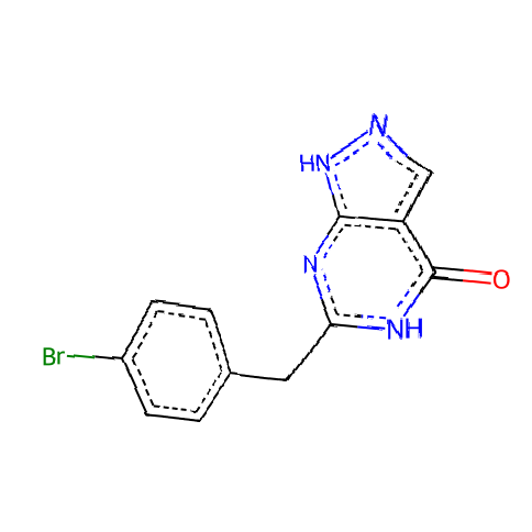 O=c1[nH]c(Cc2ccc(Br)cc2)nc2[nH]ncc12